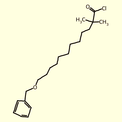 CC(C)(CCCCCCCCCCOCc1ccccc1)C(=O)Cl